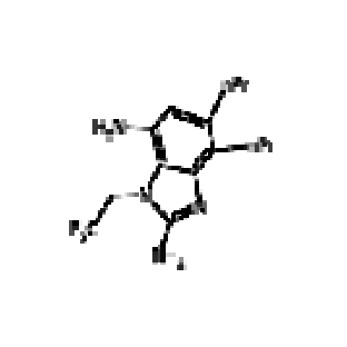 CCCc1cc(N)c2c(nc(N)n2CC(F)(F)F)c1CCC